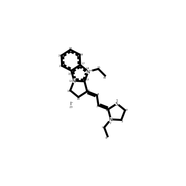 CCN1CCSC1=CC=C1CCn2c1[n+](CC)c1ccccc12.[I-]